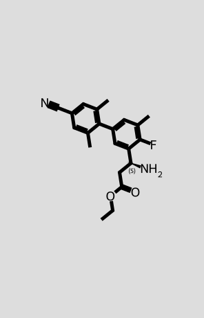 CCOC(=O)C[C@H](N)c1cc(-c2c(C)cc(C#N)cc2C)cc(C)c1F